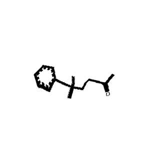 CC(=O)CCC(C)(C)c1ccccc1